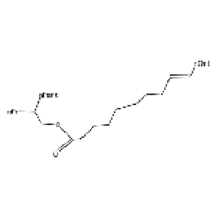 CCCCCCCCC=CCCCCCCCC(=O)OCC(CCC)CCCCC